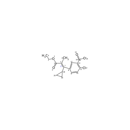 CCOC(=O)/C(C)=C(/c1ccc(Cl)c([N+](=O)[O-])c1)C1CC1